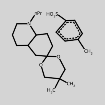 CCCN1CCCC2CC3(CCC21)OCC(C)(C)CO3.Cc1ccc(S(=O)(=O)O)cc1